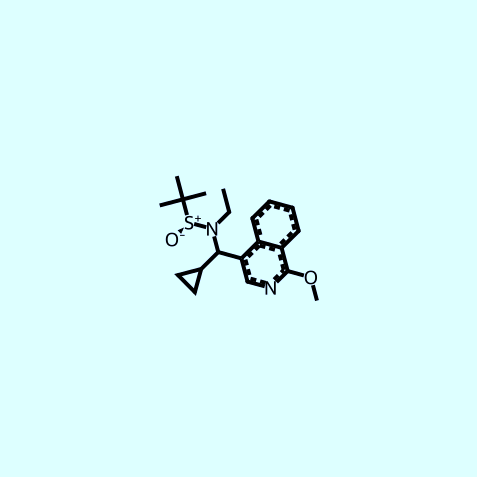 CCN(C(c1cnc(OC)c2ccccc12)C1CC1)[S@@+]([O-])C(C)(C)C